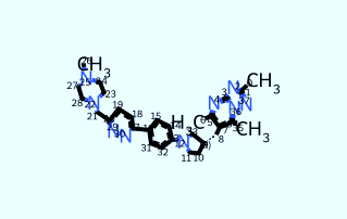 Cc1nc2nc(C)c(C[C@@H]3CCN(c4ccc(-c5ccc(CN6CCN(C)CC6)nn5)cc4)C3)c(C)n2n1